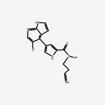 CCCN(CCC=N)C(=O)c1cc(-c2c(Cl)cnc3[nH]ccc23)c[nH]1